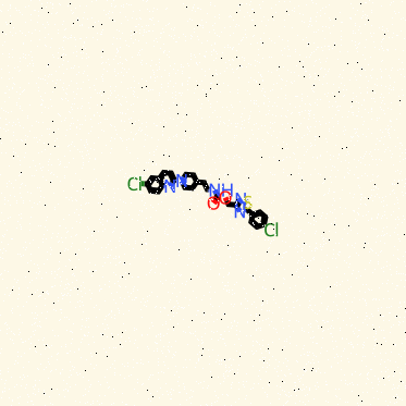 O=C(NCCC1CCN(c2ccc3cc(Cl)ccc3n2)CC1)OCc1nsc(-c2ccc(Cl)cc2)n1